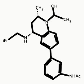 CC(=O)Nc1cccc(-c2ccc3c(c2)[C@H](NCC(C)C)C[C@H](C)N3C(C)O)c1